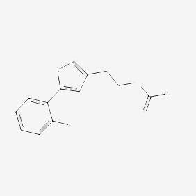 NC(=O)OCCc1c[nH]c(-c2ccccc2F)c1